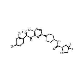 C[C@@H](Nc1nc(N2CCC(NC(=O)[C@H]3CC(F)(F)CN3)CC2)ncc1Cl)c1ccc(Cl)cc1Cl